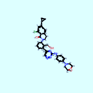 O=C1c2c(F)cc(C3CC3)cc2CCN1c1cccc(-c2cnnc(Nc3ccc(N4CCOCC4)cc3)n2)c1CO